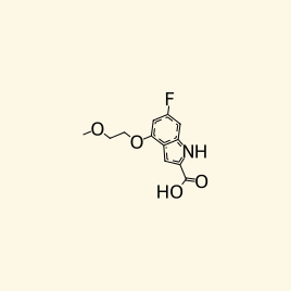 COCCOc1cc(F)cc2[nH]c(C(=O)O)cc12